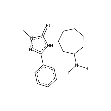 Cn1nc(-c2ccccc2)[nH][c]1=[Pt].IN(I)C1CCCCCC1